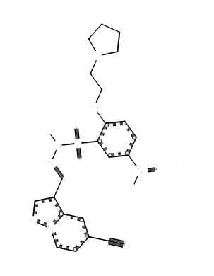 CN(N=Cc1cnn2ccc(C#N)cc12)S(=O)(=O)c1cc([N+](=O)[O-])ccc1OCCN1CCCC1.Cl